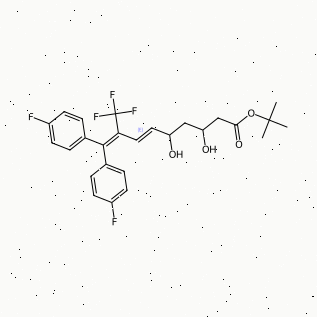 CC(C)(C)OC(=O)CC(O)CC(O)/C=C/C(=C(c1ccc(F)cc1)c1ccc(F)cc1)C(F)(F)F